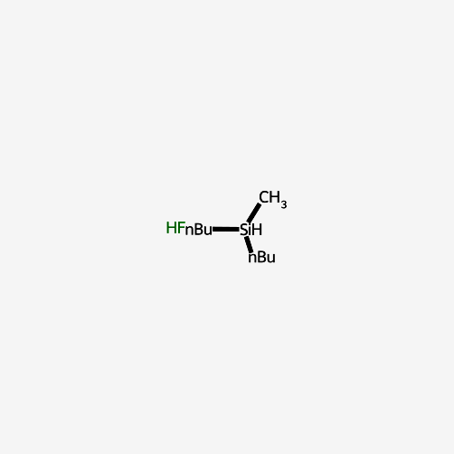 CCCC[SiH](C)CCCC.F